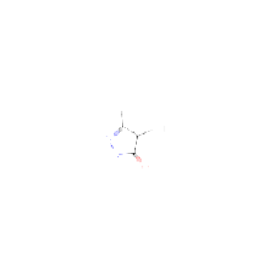 CC1=N[N]C(=O)C1C